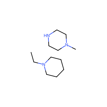 CCN1CCCCC1.CN1CCNCC1